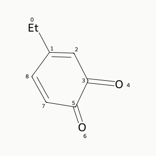 CCC1=CC(=O)C(=O)C=C1